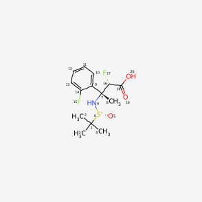 CC(C)(C)[S@@+]([O-])N[C@](C)(c1ccccc1F)[C@H](F)C(=O)O